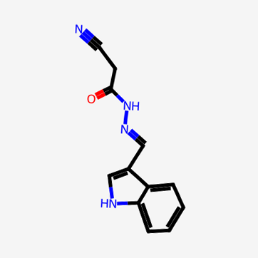 N#CCC(=O)NN=Cc1c[nH]c2ccccc12